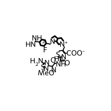 CON=C(C(=O)N[C@@H]1C(=O)N2C(C(=O)[O-])=C(C[n+]3ccc4ccn(Cc5ccc(C(=N)N)cc5F)c4c3)CS[C@H]12)c1nsc(N)n1